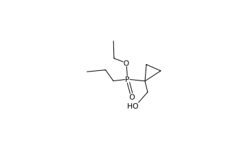 CCCP(=O)(OCC)C1(CO)CC1